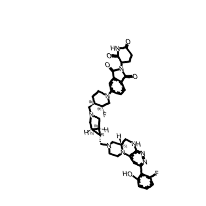 O=C1CCC(N2C(=O)c3ccc(N4CC[C@H](CN5C[C@@H]6[C@H](C5)[C@H]6CN5CCN6c7cc(-c8c(O)cccc8F)nnc7NC[C@H]6C5)[C@@H](F)C4)cc3C2=O)C(=O)N1